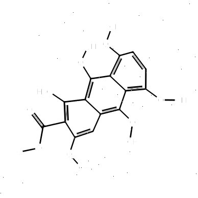 COC(=O)c1c(OC)cc2c(OC)c3c(OC)ccc(OC)c3c(OC)c2c1C